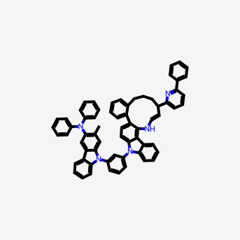 Cc1cc2c(cc1N(c1ccccc1)c1ccccc1)c1ccccc1n2-c1cccc(-n2c3ccccc3c3c4c(ccc32)-c2ccccc2CCCC(c2cccc(-c3ccccc3)n2)/C=C/N4)c1